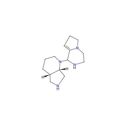 C1=C2C(N3CCC[C@H]4CNC[C@H]43)NCCN2CC1